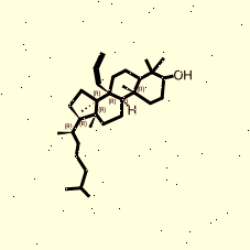 C=C=C[C@@]12CCC3C(C)(C)C(O)CC[C@]3(C)[C@H]1CC[C@]1(C)[C@@H]([C@H](C)CCCC(C)C)CC[C@]12C